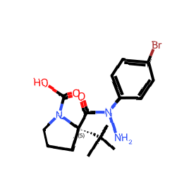 CC(C)(C)[C@]1(C(=O)N(N)c2ccc(Br)cc2)CCCN1C(=O)O